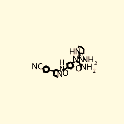 N#Cc1ccc(-c2ccnc(NC(=O)c3ccc(-c4nc([C@@H]5CCCCN5)n(N)c4C(N)=O)cc3)c2)cc1